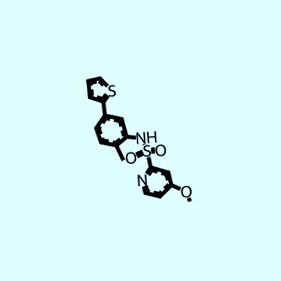 COc1ccnc(S(=O)(=O)Nc2cc(-c3cccs3)ccc2C)c1